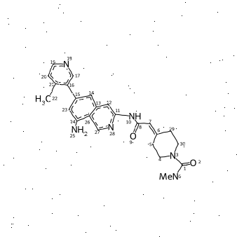 CNC(=O)N1CCC(=CC(=O)Nc2cc3cc(-c4cnccc4C)cc(N)c3cn2)CC1